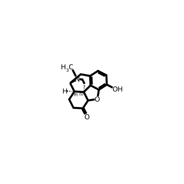 CN1CC[C@]23c4c5ccc(O)c4OC2C(=O)CC[C@H]3C1C5